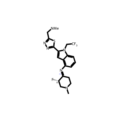 CNCc1nnc(-c2cc3c(/N=C4\CCN(C)C[C@@H]4F)cccc3n2CC(F)(F)F)s1